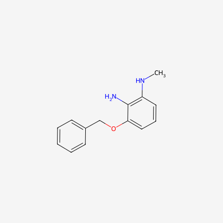 CNc1cccc(OCc2ccccc2)c1N